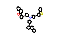 CC1(C)c2ccccc2-c2cccc(-c3ccc(N(c4ccc(-c5ccc6sc7ccccc7c6c5)cc4)c4cccc(-c5cccc6oc7c8ccccc8ccc7c56)c4)cc3)c21